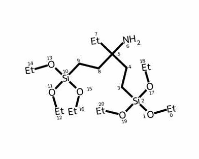 CCO[Si](CCC(N)(CC)CC[Si](OCC)(OCC)OCC)(OCC)OCC